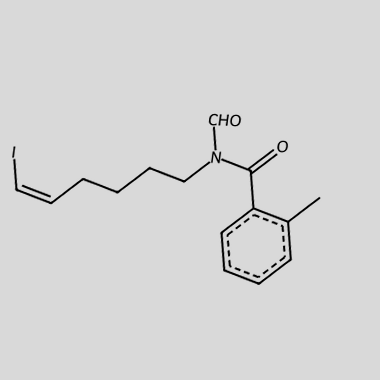 Cc1ccccc1C(=O)N(C=O)CCCC/C=C\I